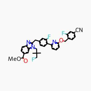 COC(=O)c1ccc2nc(Cc3ccc(-c4cccc(OCc5ccc(C#N)cc5F)n4)c(F)c3)n(CC(C)(C)CF)c2c1